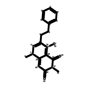 Cn1nc(CCc2ccccc2)[n+]([O-])c2c(=O)n(C)c(=O)nc1-2